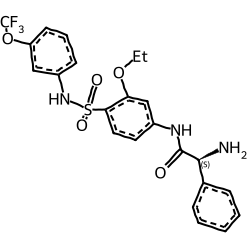 CCOc1cc(NC(=O)[C@@H](N)c2ccccc2)ccc1S(=O)(=O)Nc1cccc(OC(F)(F)F)c1